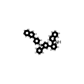 c1ccc2cc(-c3ccc(-n4c5ccccc5c5cc(-c6cccc7[nH]c8c9ccccc9ccc8c67)ccc54)cc3)ccc2c1